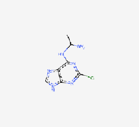 CC(N)Nc1nc(Cl)nc2[nH]cnc12